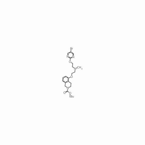 CN(CCOc1ncc(Br)cn1)CCOc1cccc2c1CCN(C(=O)OC(C)(C)C)C2